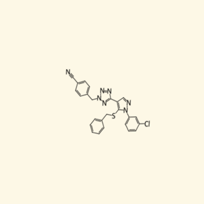 N#Cc1ccc(Cn2nnc(-c3cnn(-c4cccc(Cl)c4)c3SCc3ccccc3)n2)cc1